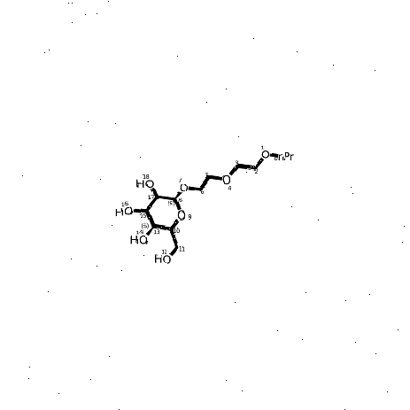 CCCOCCOCCO[C@H]1OC(CO)[C@@H](O)C(O)C1O